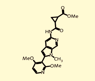 COC(=O)C1CC1C(=O)Nc1cc2cc(-c3c(OC)ccnc3OC)n(C)c2cn1